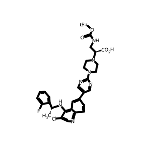 C[C@@H](Nc1c(Cl)cnc2ccc(-c3cnc(N4CCN([C@@H](CNC(=O)OC(C)(C)C)C(=O)O)CC4)nc3)cc12)c1ccccc1F